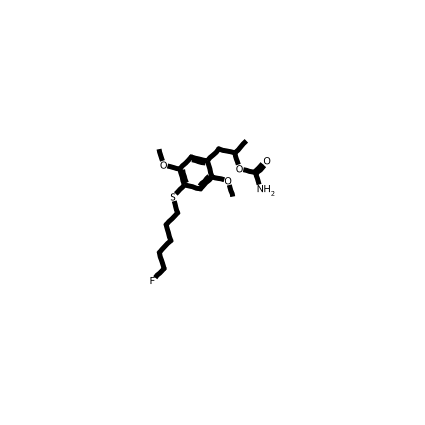 COc1cc(SCCCCCF)c(OC)cc1CC(C)OC(N)=O